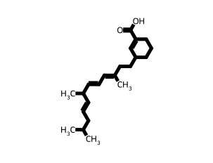 C/C(=C\C=C\C(C)/C=C/CC(C)C)CCC1C=C(C(=O)O)CCC1